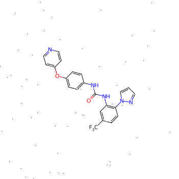 O=C(Nc1ccc(Oc2ccncc2)cc1)Nc1cc(C(F)(F)F)ccc1-n1cccn1